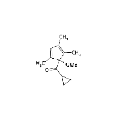 COC1(C(=O)C2CC2)C(C)=CC(C)=C1C